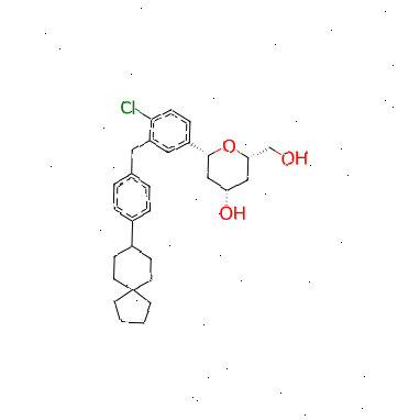 OC[C@@H]1C[C@H](O)C[C@H](c2ccc(Cl)c(Cc3ccc(C4CCC5(CCCC5)CC4)cc3)c2)O1